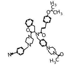 CC(=O)N1CCN(c2ccc(CN(C(=O)C=Cc3ccc(OC(C)C)cc3)C(Cc3ccccc3)C(=O)N3CCN(Cc4ccc(C#N)cc4)CC3)cc2)CC1